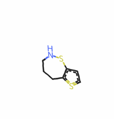 c1cc2c(s1)CCCNS2